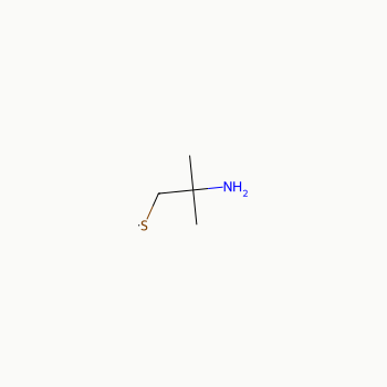 CC(C)(N)C[S]